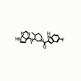 CC1CCN(C(=O)c2cc3cc(F)ccc3[nH]2)CC1N(C)c1ncnc2[nH]ccc12